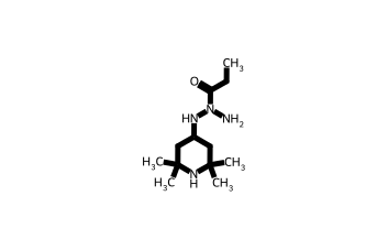 CCC(=O)N(N)NC1CC(C)(C)NC(C)(C)C1